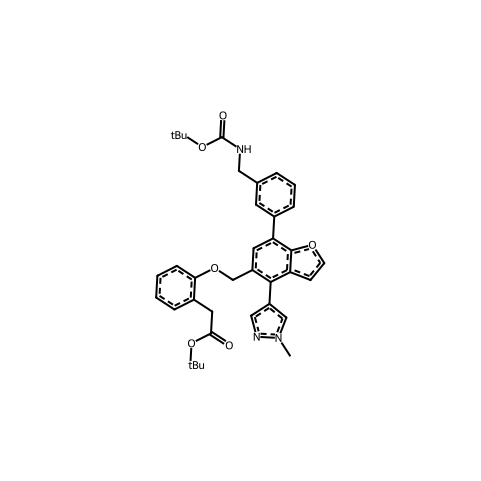 Cn1cc(-c2c(COc3ccccc3CC(=O)OC(C)(C)C)cc(-c3cccc(CNC(=O)OC(C)(C)C)c3)c3occc23)cn1